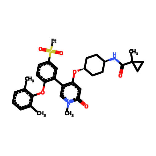 CCS(=O)(=O)c1ccc(Oc2c(C)cccc2C)c(-c2cn(C)c(=O)cc2O[C@H]2CC[C@H](NC(=O)C3(C)CC3)CC2)c1